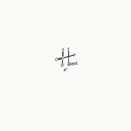 CCCCCC(F)(F)S(=O)(=O)[O-].[K+]